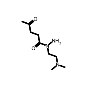 CC(=O)CCC(=O)N(N)CCN(C)C